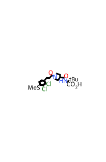 CSc1ccc(/C=C/C(=O)N2CCC(C(=O)NC(C(=O)O)C(C)(C)C)CC2)c(Cl)c1Cl